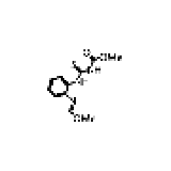 COC=Nc1ccccc1NC(=S)NC(=O)OC